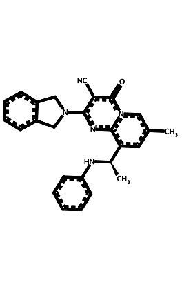 Cc1cc([C@@H](C)Nc2ccccc2)c2nc(N3Cc4ccccc4C3)c(C#N)c(=O)n2c1